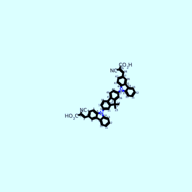 [C-]#[N+]/C(=C\c1ccc2c(c1)c1ccccc1n2-c1ccc2c(c1)C(C)(C)c1cc(-n3c4ccccc4c4cc(/C=C(\C#N)C(=O)O)ccc43)ccc1-2)C(=O)O